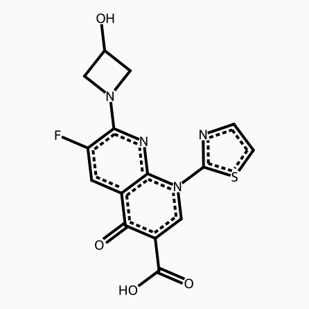 O=C(O)c1cn(-c2nccs2)c2nc(N3CC(O)C3)c(F)cc2c1=O